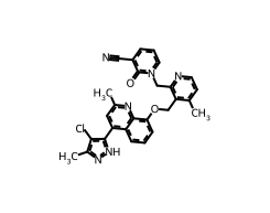 Cc1cc(-c2[nH]nc(C)c2Cl)c2cccc(OCc3c(C)ccnc3Cn3cccc(C#N)c3=O)c2n1